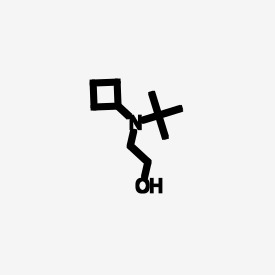 CC(C)(C)N(CCO)C1CCC1